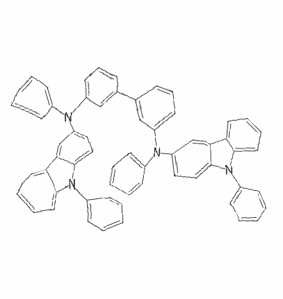 c1ccc(N(c2cccc(-c3cccc(N(c4ccccc4)c4ccc5c(c4)c4ccccc4n5-c4ccccc4)c3)c2)c2ccc3c(c2)c2ccccc2n3-c2ccccc2)cc1